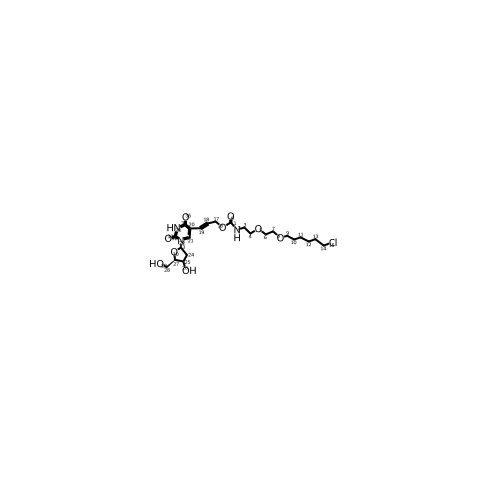 O=C(NCCOCCOCCCCCCCl)OCC#Cc1cn([C@H]2CC(O)[C@@H](CO)O2)c(=O)[nH]c1=O